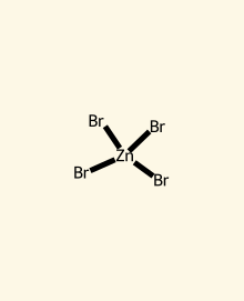 [Br][Zn]([Br])([Br])[Br]